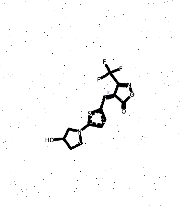 O=C1ON=C(C(F)(F)F)/C1=C/c1ccc(N2CCC(O)C2)s1